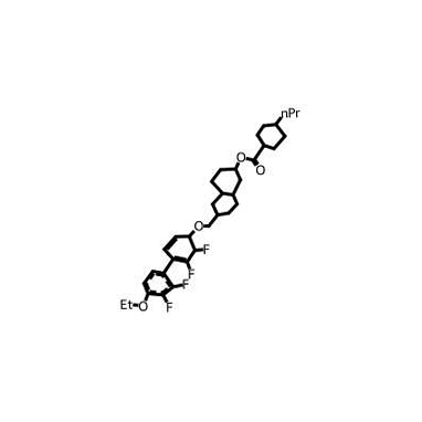 CCCC1CCC(C(=O)OC2CCC3CC(COC4C=CC(c5ccc(OCC)c(F)c5F)=C(F)C4F)CCC3C2)CC1